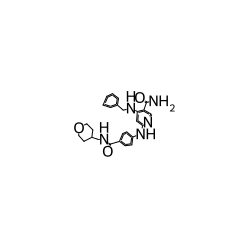 NC(=O)c1cnc(Nc2ccc(C(=O)NCC3CCOCC3)cc2)cc1NCc1ccccc1